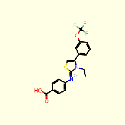 CCn1c(-c2cccc(OC(F)(F)F)c2)cs/c1=N\c1ccc(C(=O)O)cc1